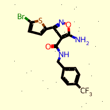 Nc1onc(-c2ccc(Br)s2)c1C(=O)NCc1ccc(C(F)(F)F)cc1